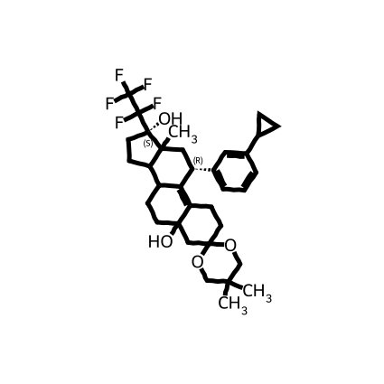 CC1(C)COC2(CCC3=C4C(CCC3(O)C2)C2CC[C@@](O)(C(F)(F)C(F)(F)F)C2(C)C[C@@H]4c2cccc(C3CC3)c2)OC1